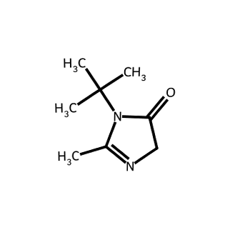 CC1=NCC(=O)N1C(C)(C)C